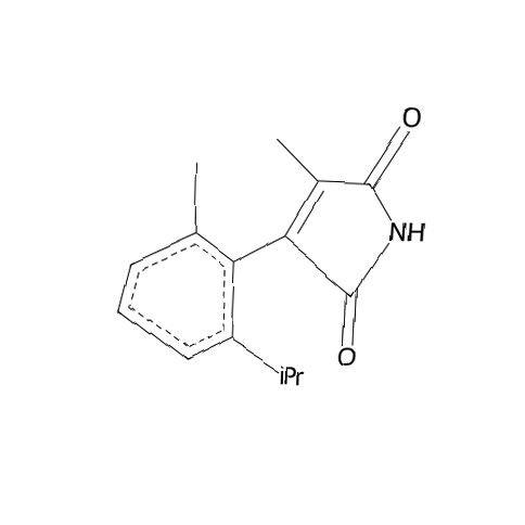 CC1=C(c2c(C)cccc2C(C)C)C(=O)NC1=O